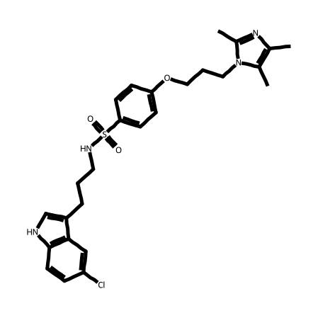 Cc1nc(C)n(CCCOc2ccc(S(=O)(=O)NCCCc3c[nH]c4ccc(Cl)cc34)cc2)c1C